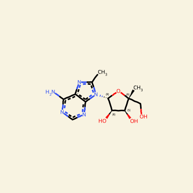 Cc1nc2c(N)ncnc2n1[C@@H]1O[C@](C)(CO)[C@@H](O)[C@H]1O